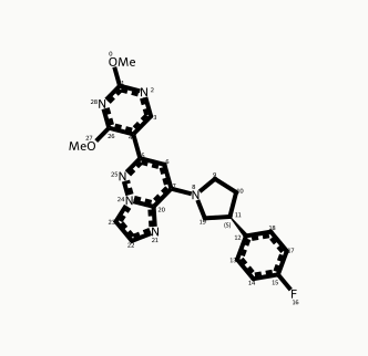 COc1ncc(-c2cc(N3CC[C@@H](c4ccc(F)cc4)C3)c3nccn3n2)c(OC)n1